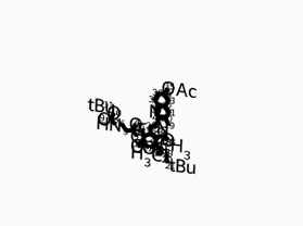 CCC1(OC(=O)CCNC(=O)OC(C)(C)C)C(=O)OC([Si](C)(C)CCC(C)(C)C)c2c1cc1n(c2=O)Cc2cc3cc(OC(C)=O)ccc3nc2-1